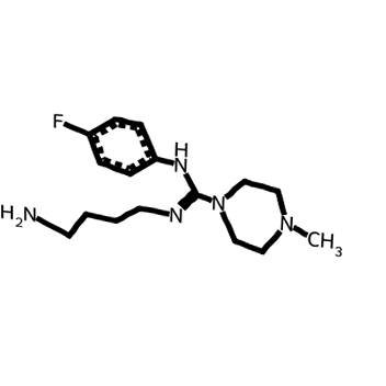 CN1CCN(C(=NCCCCN)Nc2ccc(F)cc2)CC1